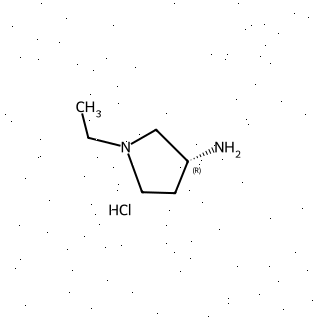 CCN1CC[C@@H](N)C1.Cl